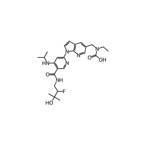 CCN(Cc1cnc2c(ccn2-c2cc(NC(C)C)c(C(=O)NCC(F)C(C)(C)O)cn2)c1)C(=O)O